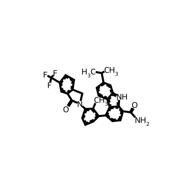 Cc1c(-c2ccc(C(N)=O)c3[nH]c4cc(C(C)C)ccc4c23)cccc1N1Cc2ccc(C(F)(F)F)cc2C1=O